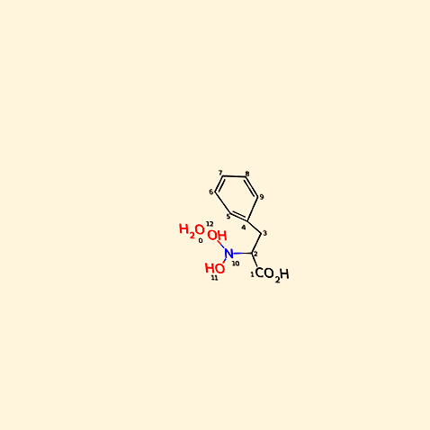 O.O=C(O)C(Cc1ccccc1)N(O)O